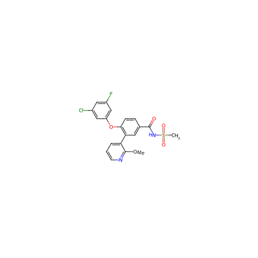 COc1ncccc1-c1cc(C(=O)NS(C)(=O)=O)ccc1Oc1cc(F)cc(Cl)c1